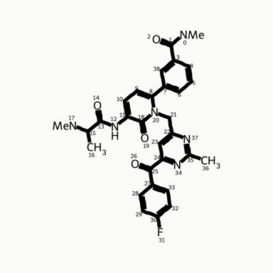 CNC(=O)c1cccc(-c2ccc(NC(=O)C(C)NC)c(=O)n2Cc2cc(C(=O)c3ccc(F)cc3)nc(C)n2)c1